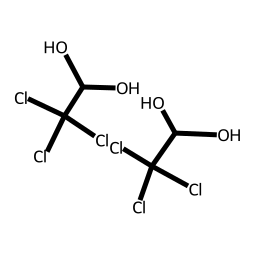 OC(O)C(Cl)(Cl)Cl.OC(O)C(Cl)(Cl)Cl